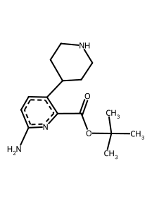 CC(C)(C)OC(=O)c1nc(N)ccc1C1CCNCC1